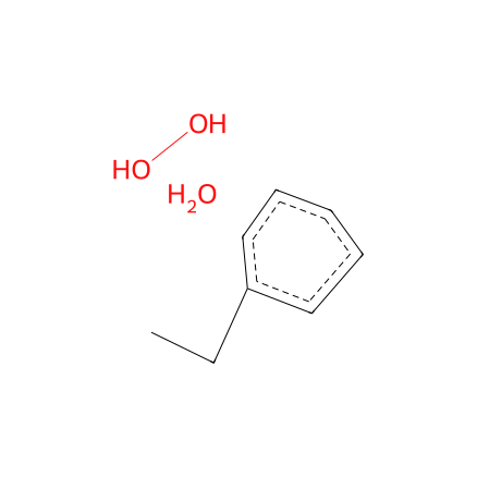 CCc1ccccc1.O.OO